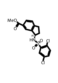 COC(=O)c1ccc2c(c1)[C@H](NS(=O)(=O)c1cc(Cl)ccc1Cl)CC2